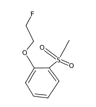 CS(=O)(=O)c1ccccc1OCCF